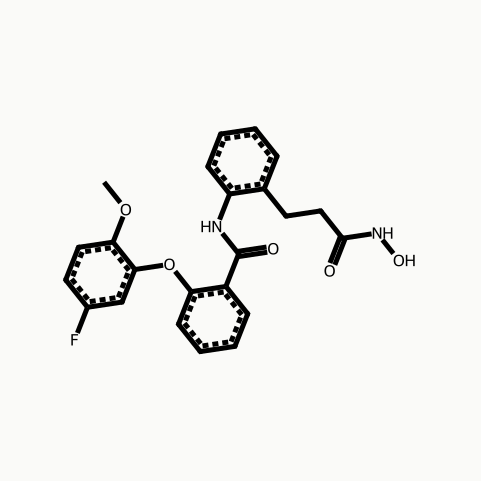 COc1ccc(F)cc1Oc1ccccc1C(=O)Nc1ccccc1CCC(=O)NO